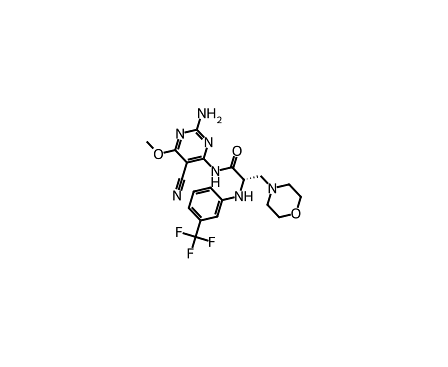 COc1nc(N)nc(NC(=O)[C@H](CN2CCOCC2)Nc2cccc(C(F)(F)F)c2)c1C#N